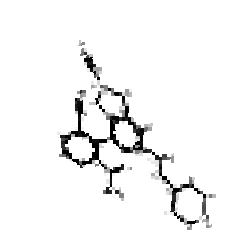 N#Cc1cccc(C(N)=O)c1-c1cc(NCC2CCOCC2)cc2c1CN(C#N)C2